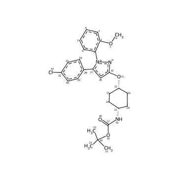 COc1ccccc1-n1nc(O[C@H]2CC[C@@H](NC(=O)OC(C)(C)C)CC2)cc1-c1ccc(Cl)cc1